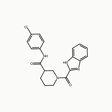 O=C(Nc1ccc(Cl)cc1)C1CCCN(C(=O)c2nc3ccccc3[nH]2)C1